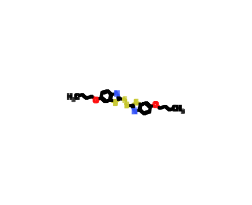 CCCCOc1ccc2nc(SSc3nc4ccc(OCCCC)cc4s3)sc2c1